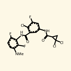 CNc1ccc(F)c(NC(=O)c2cc(NC(=O)C3CC3(Cl)Cl)cc(F)c2Cl)c1F